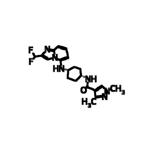 Cc1nn(C)cc1C(=O)N[C@H]1CC[C@@H](Nc2cccc3nc(C(F)F)cn23)CC1